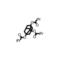 CC(C)C(=O)OC12CC3CC(OC(=O)C(C)C)(C1)CC(OC(=O)C(C)C)(C3)C2